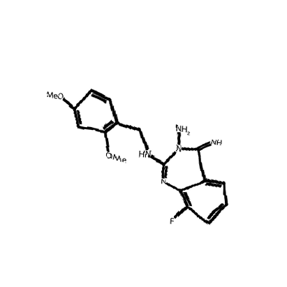 COc1ccc(CNc2nc3c(F)cccc3c(=N)n2N)c(OC)c1